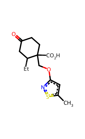 CCC1CC(=O)CCC1(COc1cc(C)sn1)C(=O)O